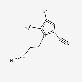 COCCn1c(C#N)cc(Br)c1C